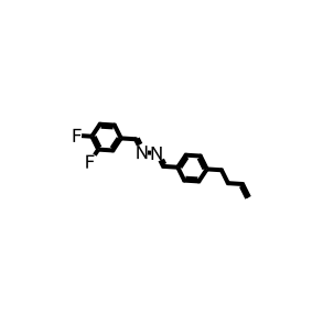 C=CCCc1ccc(/C=N/N=C/c2ccc(F)c(F)c2)cc1